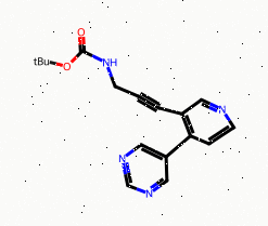 CC(C)(C)OC(=O)NCC#Cc1cnccc1-c1cncnc1